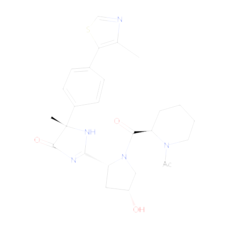 CC(=O)N1CCCC[C@@H]1C(=O)N1C[C@H](O)C[C@@H]1C1=NC(=O)[C@](C)(c2ccc(-c3scnc3C)cc2)N1